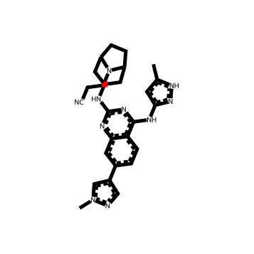 Cc1cc(Nc2nc(NC3CC4CCC(C3)N4CCC#N)nc3cc(-c4cnn(C)c4)ccc23)n[nH]1